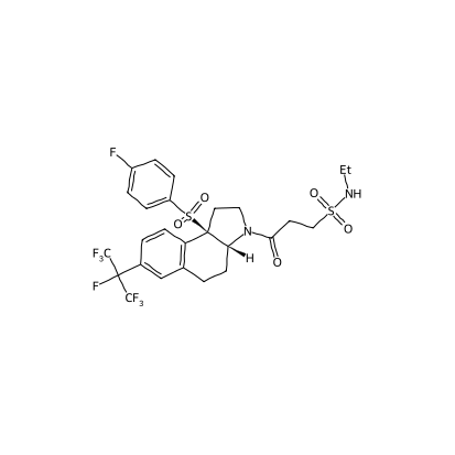 CCNS(=O)(=O)CCC(=O)N1CC[C@@]2(S(=O)(=O)c3ccc(F)cc3)c3ccc(C(F)(C(F)(F)F)C(F)(F)F)cc3CC[C@@H]12